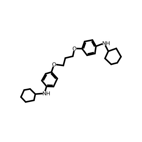 c1cc(OCCCOc2ccc(NC3CCCCC3)cc2)ccc1NC1CCCCC1